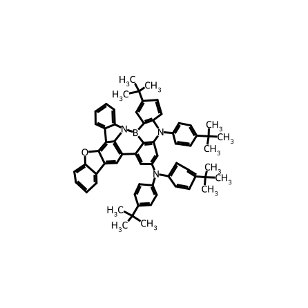 CC(C)(C)c1ccc(N(c2ccc(C(C)(C)C)cc2)c2cc3c4c(c2)N(c2ccc(C(C)(C)C)cc2)c2ccc(C(C)(C)C)cc2B4n2c4ccccc4c4c5oc6ccccc6c5cc-3c42)cc1